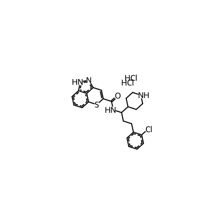 Cl.Cl.O=C(NC(CCc1ccccc1Cl)C1CCNCC1)C1=Cc2n[nH]c3cccc(c23)S1